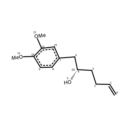 C=CCC[C@H](O)Cc1ccc(OC)c(OC)c1